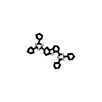 c1ccc(-c2nc(-c3ccccc3)nc(-c3ccc4sc5c(-c6nc(-c7ccccc7)nc(-c7ccccc7)n6)cccc5c4c3)n2)cc1